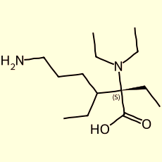 CCC(CCCN)[C@@](CC)(C(=O)O)N(CC)CC